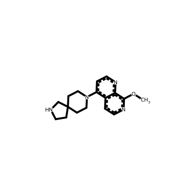 COc1nccc2c(N3CCC4(CCNC4)CC3)ccnc12